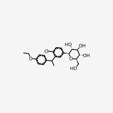 CCOc1ccc(C(C)c2cc([C@@H]3O[C@H](CO)[C@@H](O)[C@H](O)[C@H]3O)ccc2Cl)cc1